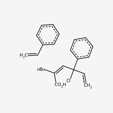 C=CC(Cl)(C=C(CCCC)C(=O)O)c1ccccc1.C=Cc1ccccc1